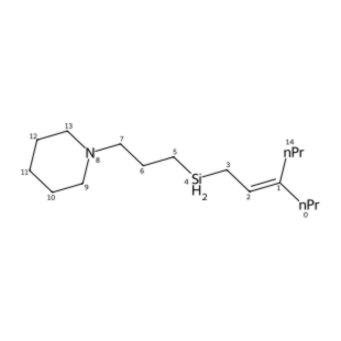 CCCC(=CC[SiH2]CCCN1CCCCC1)CCC